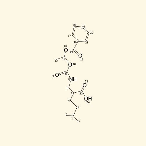 CC(C)CCC(CNC(=O)OC(C)OC(=O)c1ccccc1)C(=O)O